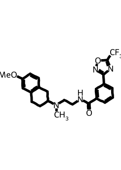 COc1ccc2c(c1)CCC(N(C)CCNC(=O)c1cccc(-c3noc(C(F)(F)F)n3)c1)C2